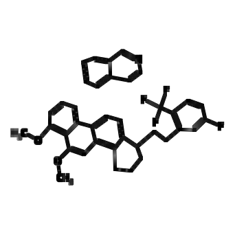 COc1cccc2c1c(OC)cc1c3c(ccc12)C(CCc1cc(F)ccc1C(F)(F)F)CCC3.c1ccc2cnccc2c1